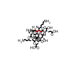 NCCCC[C@H](NC(=O)[C@H](CO)NC(=O)[C@H](CCC(=O)O)NC(=O)[C@H](CCCCN)NC(=O)[C@H](CO)NC(=O)[C@H](CCC(=O)O)NC(=O)[C@@H](N)CCCCN)C(=O)N[C@@H](CCC(=O)O)C(=O)O